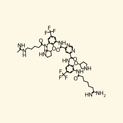 CC(=N)NCCCCC(=O)Nc1cc(C(F)(F)F)cc(NC(=O)c2cc(C(=O)Nc3cc(C(F)(F)F)cc(NC(=O)CCCCCC(=N)N)c3OC3CCNC3)ncn2)c1OC1CCNC1